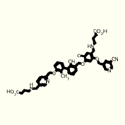 Cc1c(COc2cc(OCc3cncc(C#N)c3)c(CNCCCC(=O)O)cc2Cl)cccc1-c1cccc(OCc2ccc(CNCCCC(=O)O)cn2)c1C